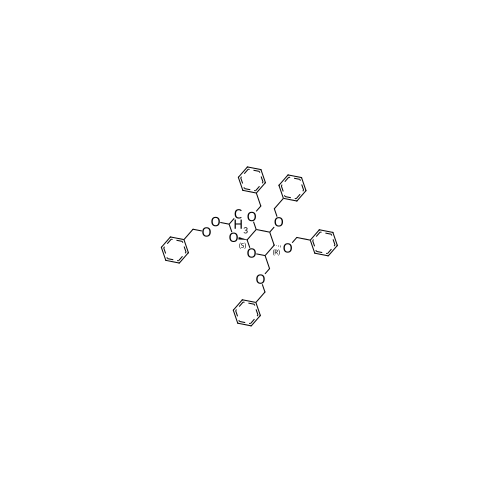 CC(OOCc1ccccc1)O[C@@H]1OC(COCc2ccccc2)[C@@H](OCc2ccccc2)C(OCc2ccccc2)C1OCc1ccccc1